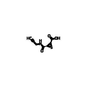 C#CCNC(=O)[C@H]1S[C@@H]1C(=O)O